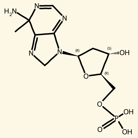 CC1(N)N=CN=C2C1=NCN2[C@H]1C[C@H](O)[C@@H](COP(=O)(O)O)O1